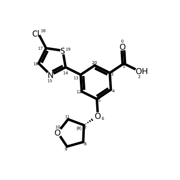 O=C(O)c1cc(O[C@@H]2CCOC2)cc(-c2ncc(Cl)s2)c1